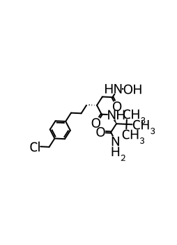 CC(C)(C)[C@H](NC(=O)[C@H](CCCc1ccc(CCl)cc1)CC(=O)NO)C(N)=O